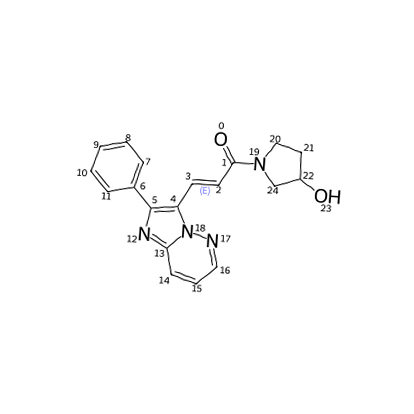 O=C(/C=C/c1c(-c2ccccc2)nc2cccnn12)N1CCC(O)C1